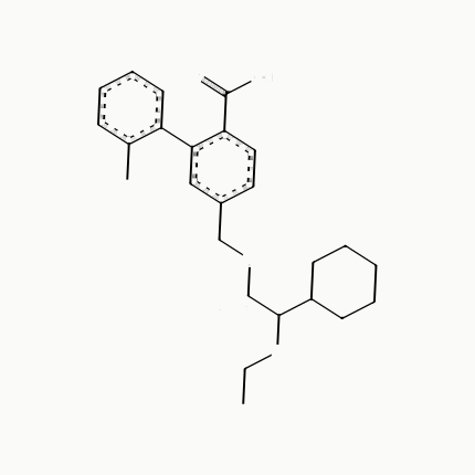 CCSC(C1CCCCC1)[C@H](C)OCc1ccc(C(=O)O)c(-c2ccccc2C)c1